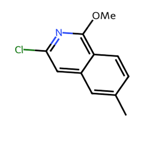 COc1nc(Cl)cc2cc(C)ccc12